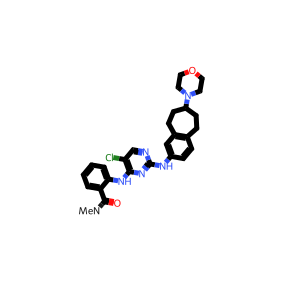 CNC(=O)c1ccccc1Nc1nc(Nc2ccc3c(c2)CCC(N2CCOCC2)CC3)ncc1Cl